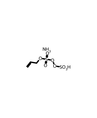 C=CCOS(=O)(=O)OOS(=O)(=O)O.N